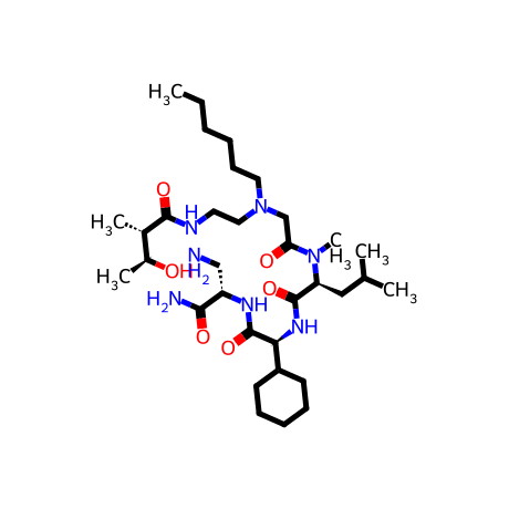 CCCCCCN(CCNC(=O)[C@@H](C)[C@H](C)O)CC(=O)N(C)[C@@H](CC(C)C)C(=O)N[C@H](C(=O)N[C@@H](CN)C(N)=O)C1CCCCC1